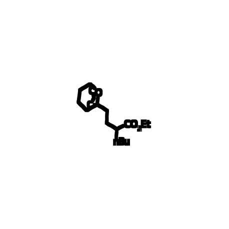 [CH2]CCCC(CC[C]1OC2CCCC1CC2)C(=O)OCC